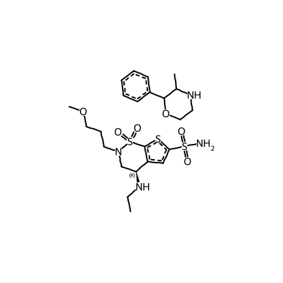 CC1NCCOC1c1ccccc1.CCN[C@H]1CN(CCCOC)S(=O)(=O)c2sc(S(N)(=O)=O)cc21